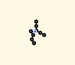 c1ccc(-c2ccc(-c3cc(-c4ccc(-c5ccccc5)cc4)nc(-n4c5ccccc5c5cc(-c6ccc7sc8ccccc8c7c6)ccc54)n3)cc2)cc1